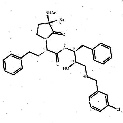 CC[C@H](C)[C@@]1(NC(C)=O)CCN([C@@H](CCc2ccccc2)C(=O)N[C@@H](Cc2ccccc2)[C@H](O)CNCc2cccc(Cl)c2)C1=O